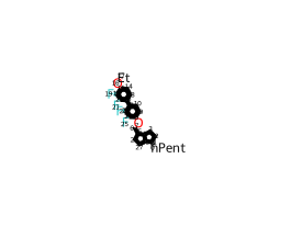 CCCCCC1CCC2C(COc3ccc(-c4ccc(OCC)c(F)c4F)c(F)c3F)CCC12